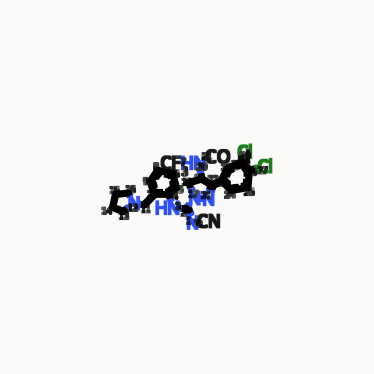 N#C/N=C(/Nc1cc(C(F)(F)F)ccc1CN1CCCC1)N1CC(NC(=O)O)C(c2ccc(Cl)c(Cl)c2)=N1